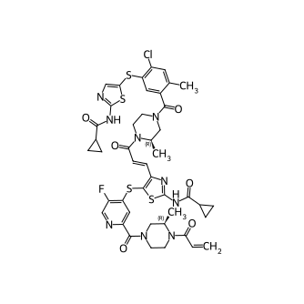 C=CC(=O)N1CCN(C(=O)c2cc(Sc3sc(NC(=O)C4CC4)nc3C=CC(=O)N3CCN(C(=O)c4cc(Sc5cnc(NC(=O)C6CC6)s5)c(Cl)cc4C)C[C@H]3C)c(F)cn2)C[C@H]1C